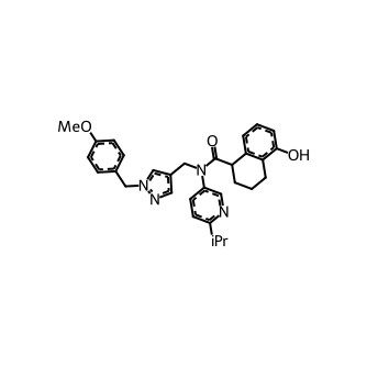 COc1ccc(Cn2cc(CN(C(=O)C3CCCc4c(O)cccc43)c3ccc(C(C)C)nc3)cn2)cc1